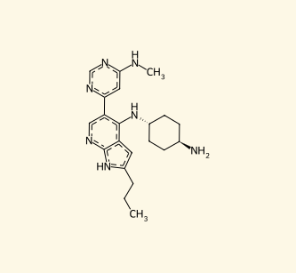 CCCc1cc2c(N[C@H]3CC[C@H](N)CC3)c(-c3cc(NC)ncn3)cnc2[nH]1